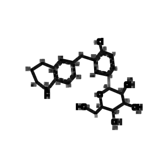 OCC1OC(c2ccc(Cl)c(Cc3ccc4c(c3)CCCN4)c2)C(O)C(O)C1O